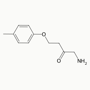 Cc1ccc(OCCC(=O)CN)cc1